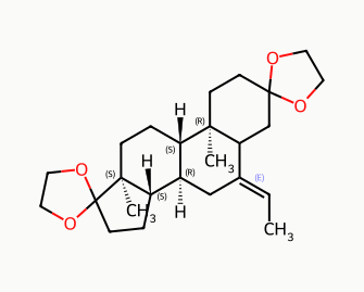 C/C=C1\C[C@@H]2[C@H](CC[C@@]3(C)[C@H]2CCC32OCCO2)[C@@]2(C)CCC3(CC12)OCCO3